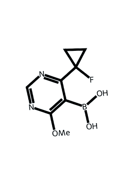 COc1ncnc(C2(F)CC2)c1B(O)O